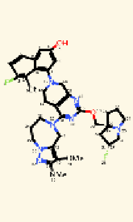 CCc1c(F)ccc2cc(O)cc(N3CCc4c(nc(OC[C@@]56CCCN5C[C@H](F)C6)nc4N4CCCn5nc(NC)c(OC)c5C4)C3)c12